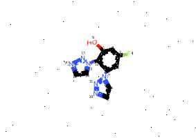 Oc1cc(F)cc(-n2ccnn2)c1-n1ccnn1